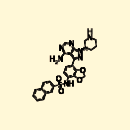 Nc1ncnc2c1c(-c1ccc(NS(=O)(=O)c3ccc4ccccc4c3)c3c1OCO3)nn2[C@@H]1CCCNC1